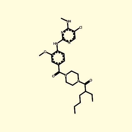 CCCCC(CC)C(=O)N1CCN(C(=O)c2ccc(Nc3ncc(Cl)c(NC)n3)c(OC)c2)CC1